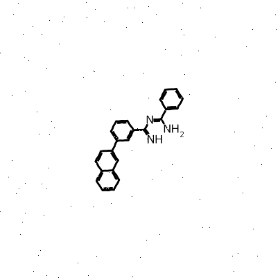 N=C(/N=C(\N)c1ccccc1)c1cccc(-c2ccc3ccccc3c2)c1